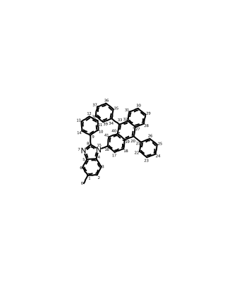 Cc1ccc2c(c1)nc(-c1ccccc1)n2-c1ccc2c(-c3ccccc3)c3ccccc3c(-c3ccccc3)c2c1